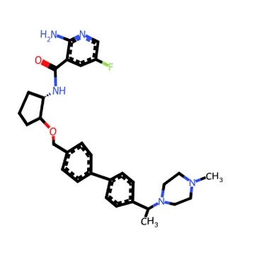 CC(c1ccc(-c2ccc(COC3CCC[C@@H]3NC(=O)c3cc(F)cnc3N)cc2)cc1)N1CCN(C)CC1